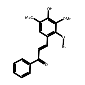 CCOc1c(C=CC(=O)c2ccccc2)cc(OC)c(O)c1OC